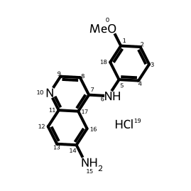 COc1cccc(Nc2ccnc3ccc(N)cc23)c1.Cl